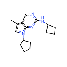 Cc1cn(C2CCCC2)c2nc(NC3CCC3)ncc12